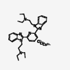 CCN(CC)CCn1c(-c2cccc(-c3nc4ccccc4n3CCN(CC)CC)n2)nc2ccccc21.[Cl-].[Cl-].[Co+2]